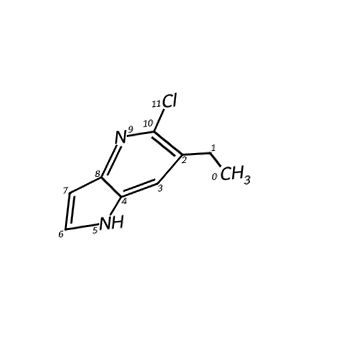 CCc1cc2[nH]ccc2nc1Cl